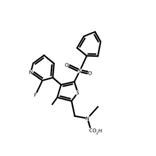 Cc1c(CN(C)C(=O)O)sc(S(=O)(=O)c2ccccc2)c1-c1cccnc1F